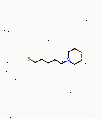 [S]CCCCCN1CCSCC1